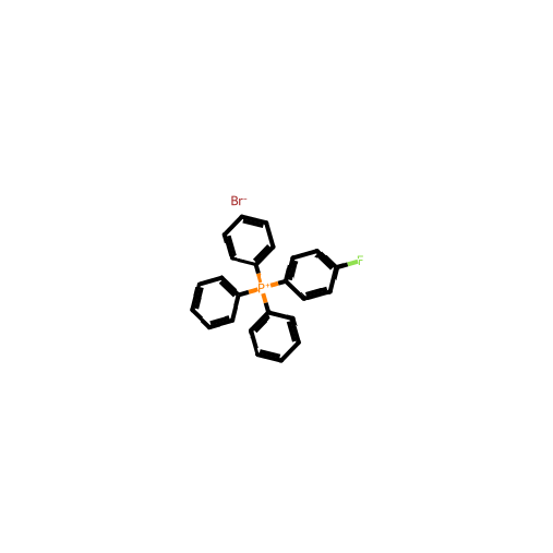 Fc1ccc([P+](c2ccccc2)(c2ccccc2)c2ccccc2)cc1.[Br-]